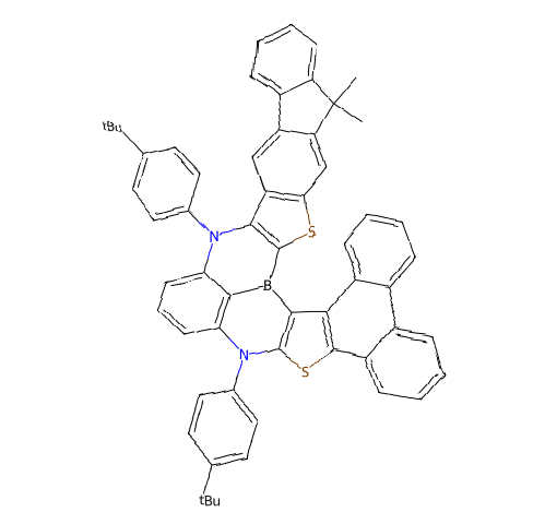 CC(C)(C)c1ccc(N2c3cccc4c3B(c3sc5cc6c(cc5c3N4c3ccc(C(C)(C)C)cc3)-c3ccccc3C6(C)C)c3c2sc2c4ccccc4c4ccccc4c32)cc1